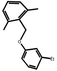 CCc1cccc(OCc2c(C)cccc2C)c1